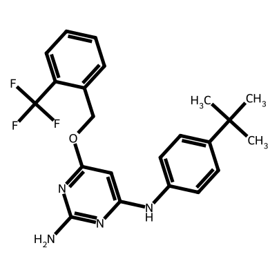 CC(C)(C)c1ccc(Nc2cc(OCc3ccccc3C(F)(F)F)nc(N)n2)cc1